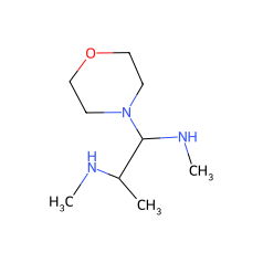 CNC(C)C(NC)N1CCOCC1